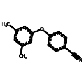 Cc1cc(C)cc(Oc2ccc(C#N)cc2)c1